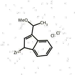 COC(C)C1=C[CH]([Zr+2])c2ccccc21.[Cl-].[Cl-]